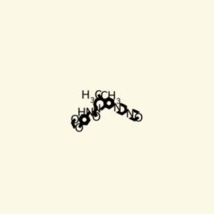 CC1(C)CCN(C(=O)Nc2ccc3c(c2)OCCO3)Cc2cc(N3CCC(N4CCOCC4)CC3)ccc21